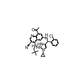 CC(=O)c1cc(NC(C2=CN(C3CC3)NN2)c2ccccc2Cl)cc2c(NCC(C)(C)C)c(C#N)cnc12